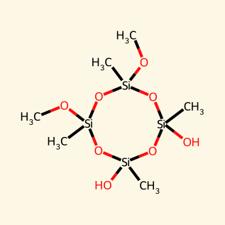 CO[Si]1(C)O[Si](C)(O)O[Si](C)(O)O[Si](C)(OC)O1